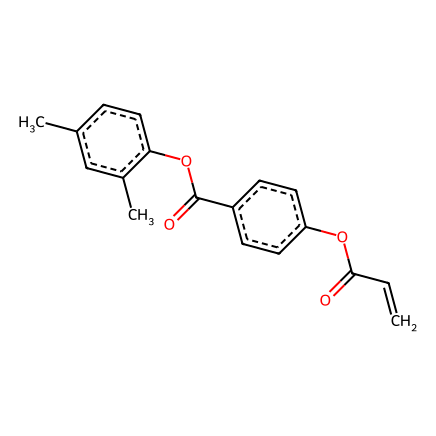 C=CC(=O)Oc1ccc(C(=O)Oc2ccc(C)cc2C)cc1